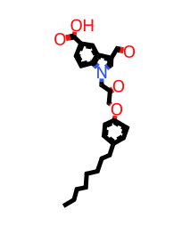 CCCCCCCCc1ccc(OCC(=O)Cn2cc(C=O)c3cc(C(=O)O)ccc32)cc1